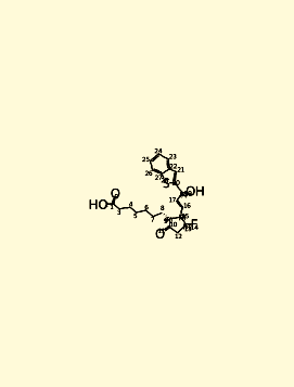 O=C(O)CCCCCC[C@H]1C(=O)C[C@H](F)[C@@H]1C=C[C@@H](O)c1cc2ccccc2s1